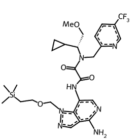 COC[C@@H](C1CC1)N(Cc1ccc(C(F)(F)F)cn1)C(=O)C(=O)Nc1cnc(N)c2cnn(COCC[Si](C)(C)C)c12